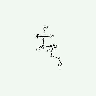 [O]CCNC(=O)C(F)(F)F